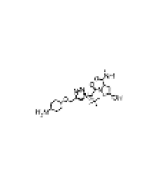 CNC(=O)C1CC(O)CN1C(=O)[C@@H](n1cc(COC2CCC(N)CC2)nn1)C(C)(C)C